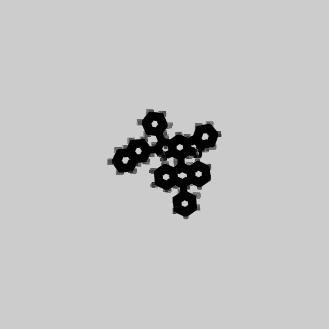 c1ccc(-c2c3ccccc3c(-c3c4c(cc5c3oc3ccccc35)C(c3ccccc3)C(c3ccc5ccccc5c3)S4)c3ccccc23)cc1